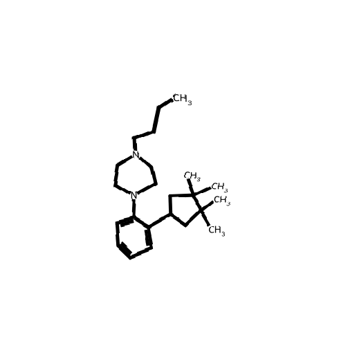 CCCCN1CCN(c2ccccc2C2CC(C)(C)C(C)(C)C2)CC1